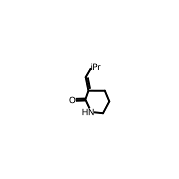 CC(C)C=C1CCCNC1=O